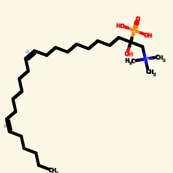 CCCCC/C=C\CCCCC/C=C\CCCCCCCCC(O)(C[N+](C)(C)C)P(=O)(O)O